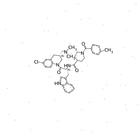 Cc1ccc(C(=O)N2CCC(C(=O)N[C@H](Cc3c[nH]c4ccccc34)C(=O)N3C[C@@H](CN(C)C)Cc4cc(Cl)ccc43)CC2)cc1